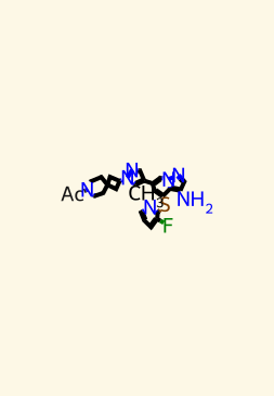 CC(=O)N1CCC2(CC1)CC(n1ncc(-c3cc(Sc4ncccc4F)c4c(N)cnn4c3)c1C)C2